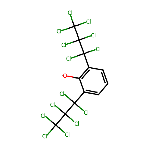 [O]c1c(C(Cl)(Cl)C(Cl)(Cl)C(Cl)(Cl)Cl)cccc1C(Cl)(Cl)C(Cl)(Cl)C(Cl)(Cl)Cl